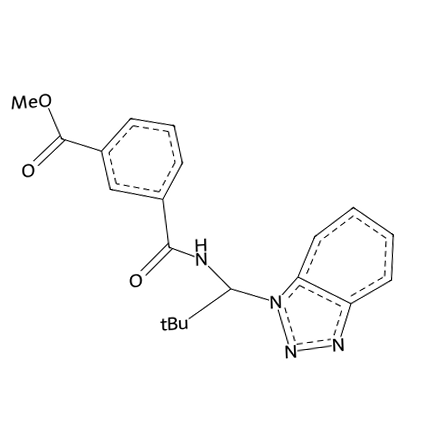 COC(=O)c1cccc(C(=O)NC(n2nnc3ccccc32)C(C)(C)C)c1